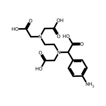 Nc1ccc(C(C(=O)O)N(CCN(CC(=O)O)CC(=O)O)CC(=O)O)cc1